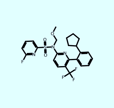 COCN(c1ccc(C(F)(F)F)c(-c2ccccc2C2CCCC2)n1)S(=O)(=O)c1cccc(F)n1